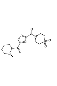 C[C@H]1CCCCN1C(=O)c1csc(C(=O)N2CCS(=O)(=O)CC2)n1